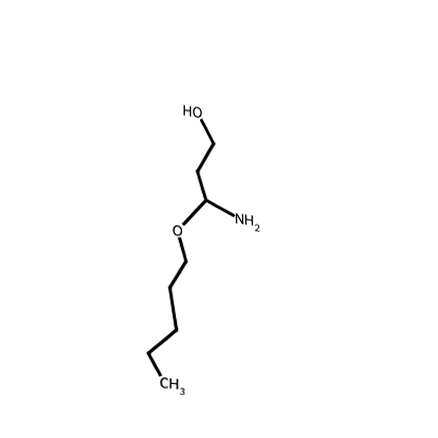 CCCCCOC(N)CCO